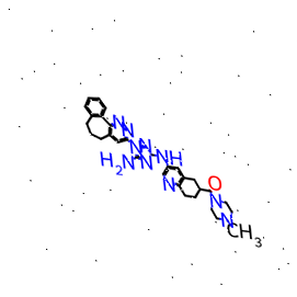 CN1CCN(C(=O)C2CCc3ncc(Nc4nc(N)n(-c5cc6c(nn5)-c5ccccc5CCC6)n4)cc3C2)CC1